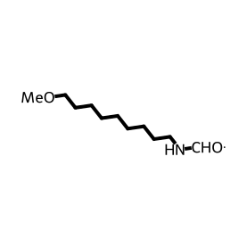 [CH2]OCCCCCCCCCN[C]=O